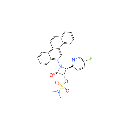 CN(C)S(=O)(=O)O[C@@H]1C(=O)N(c2cc3c4ccccc4ccc3c3ccccc23)[C@H]1c1ccc(F)cn1